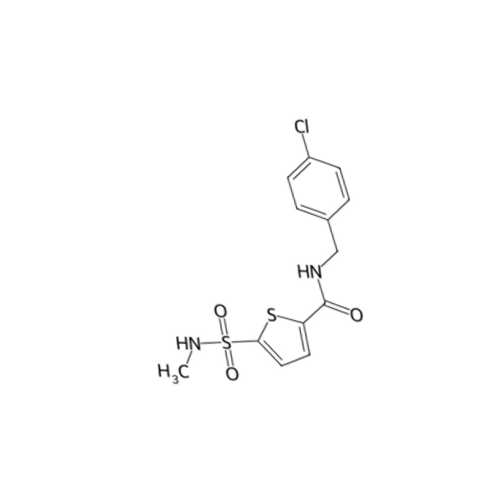 CNS(=O)(=O)c1ccc(C(=O)NCc2ccc(Cl)cc2)s1